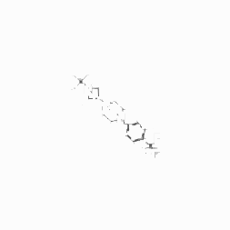 CC(C)(C)N1CC(N2CCN(c3ccc(C(F)(F)F)cc3)CC2)C1